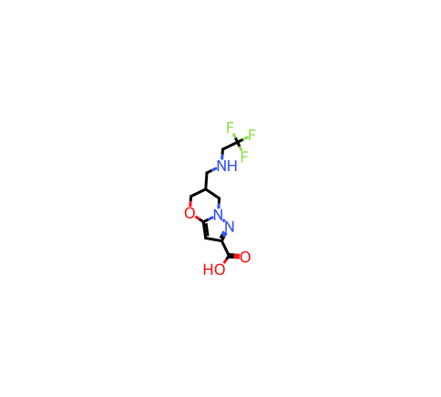 O=C(O)c1cc2n(n1)CC(CNCC(F)(F)F)CO2